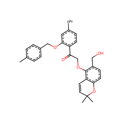 CCCc1ccc(C(=O)COc2c(CO)ccc3c2C=CC(C)(C)O3)c(OCc2ccc(C)cc2)c1